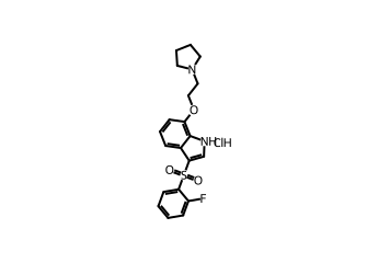 Cl.O=S(=O)(c1ccccc1F)c1c[nH]c2c(OCCN3CCCC3)cccc12